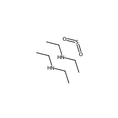 CCNCC.CCNCC.O=S=O